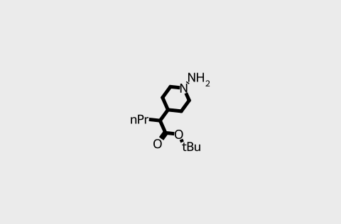 CCCC(C(=O)OC(C)(C)C)C1CCN(N)CC1